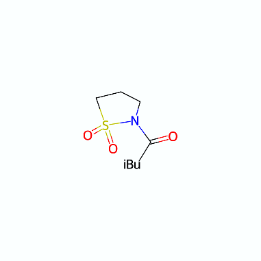 CCC(C)C(=O)N1CCCS1(=O)=O